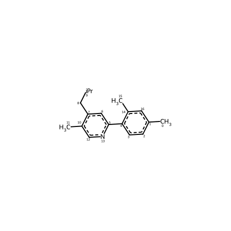 Cc1ccc(-c2cc(CC(C)C)c(C)cn2)c(C)c1